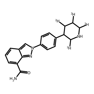 [2H]C1NC([2H])C(c2ccc(-n3cc4cccc(C(N)=O)c4n3)cc2)C([2H])C1[2H]